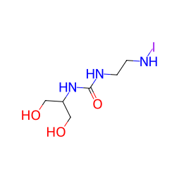 O=C(NCCNI)NC(CO)CO